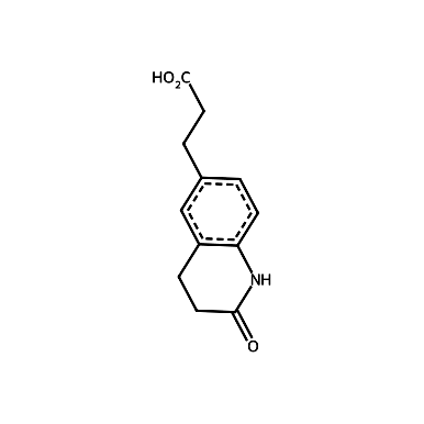 O=C(O)CCc1ccc2c(c1)CCC(=O)N2